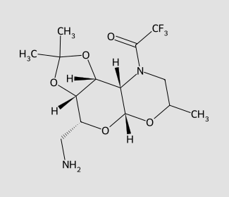 CC1CN(C(=O)C(F)(F)F)[C@@H]2[C@H](O1)O[C@H](CN)[C@@H]1OC(C)(C)O[C@@H]12